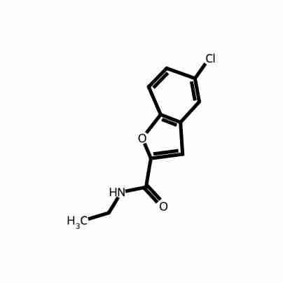 CCNC(=O)c1cc2cc(Cl)ccc2o1